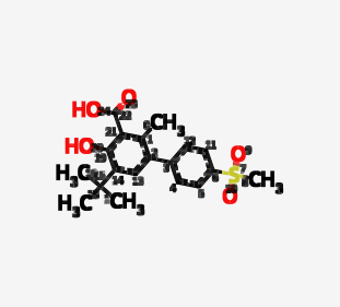 Cc1c(-c2ccc(S(C)(=O)=O)cc2)cc(C(C)(C)C)c(O)c1C(=O)O